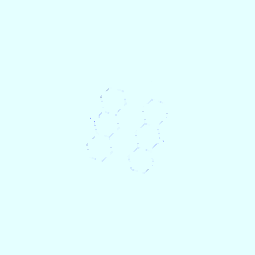 C[n+]1c2ccccc2c(-c2c3ccccc3[n+](C)c3ccc(Cl)cc23)c2ccccc21